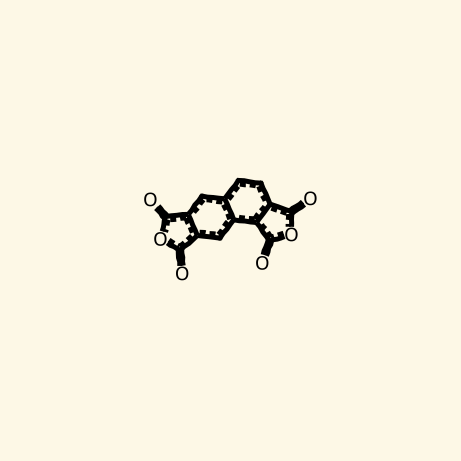 O=c1oc(=O)c2cc3c(ccc4c(=O)oc(=O)c43)cc12